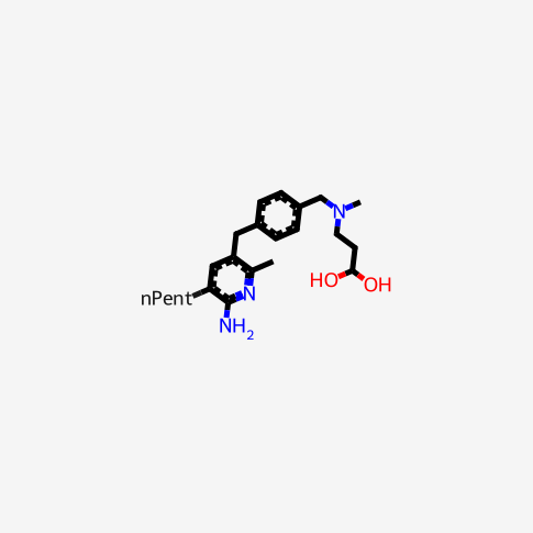 CCCCCc1cc(Cc2ccc(CN(C)CCC(O)O)cc2)c(C)nc1N